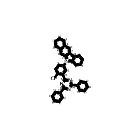 Clc1ccc(-n2c3ccccc3c3cc4ccccc4cc32)cc1-c1nc(-c2ccccc2)nc(-c2ccccc2)n1